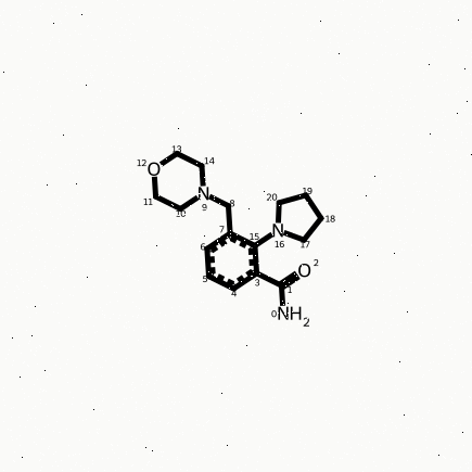 NC(=O)c1cccc(CN2CCOCC2)c1N1CCCC1